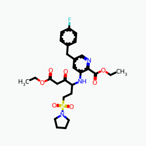 CCOC(=O)CC(=O)C(CCS(=O)(=O)N1CCCC1)Nc1cc(Cc2ccc(F)cc2)cnc1C(=O)OCC